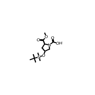 COC(=O)C1CC(O[Si](C)(C)C(C)(C)C)CN1C(=O)O